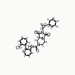 O=C(Nc1cccnc1-c1ccccc1Cl)N1CCN2C(=O)N(C3CC3c3ccccc3)C(=O)C2C1